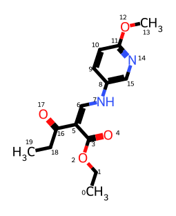 CCOC(=O)C(=CNc1ccc(OC)nc1)C(=O)CC